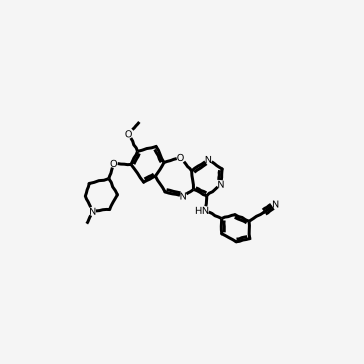 COc1cc2c(cc1OC1CCN(C)CC1)C=Nc1c(Nc3cccc(C#N)c3)ncnc1O2